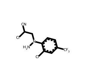 N#CC(Cl)CN(N)c1ccc(C(F)(F)F)cc1Cl